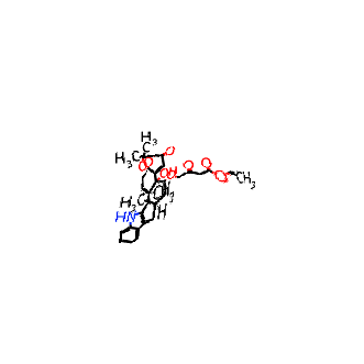 CCOC(=O)CC(=O)CO[C@H]1C[C@H]2Cc3c([nH]c4ccccc34)[C@]2(C)[C@@]2(C)CC[C@@]34OC(C(=O)C=C3[C@]12O)C(C)(C)O4